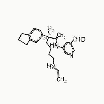 C=CNCCCC[C@](C)(C(=C)Nc1cncc(C=O)c1)c1ccc2c(c1)CCC2